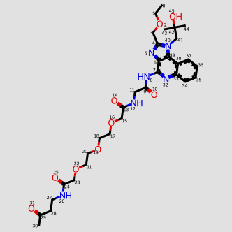 CCOCc1nc2c(NC(=O)CNC(=O)COCCOCCOCC(=O)NCCC(C)=O)nc3ccccc3c2n1CC(C)(C)O